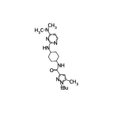 Cc1cc(C(=O)NC2CCC(Nc3nccc(N(C)C)n3)CC2)nn1C(C)(C)C